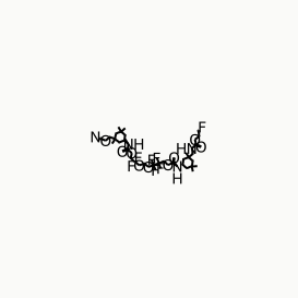 CC1(C)CC(NC(=O)OCC(F)(F)C(F)(F)OCOC(F)(F)COC(=O)NC2CC(C)(C)CC(C)(COC#N)C2)CC(C)(CNC(=O)OCCF)C1